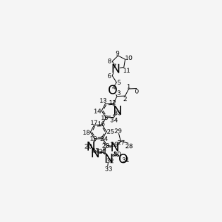 CCCC(OCCN1CCCC1)c1ccc(-c2ccc3nnc4c(c3c2)n(C(C)C)c(=O)n4C)cn1